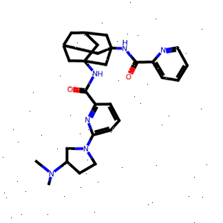 CN(C)C1CCN(c2cccc(C(=O)NC34CC5CC(CC(NC(=O)c6ccccn6)(C5)C3)C4)n2)C1